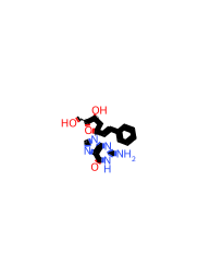 Nc1nc2c(ncn2[C@@]2(C=Cc3ccccc3)C[C@H](O)[C@@H](CO)O2)c(=O)[nH]1